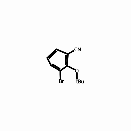 CC(C)(C)Oc1c(Br)cccc1C#N